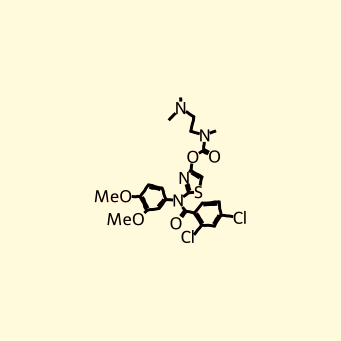 COc1ccc(N(C(=O)c2ccc(Cl)cc2Cl)c2nc(OC(=O)N(C)CCN(C)C)cs2)cc1OC